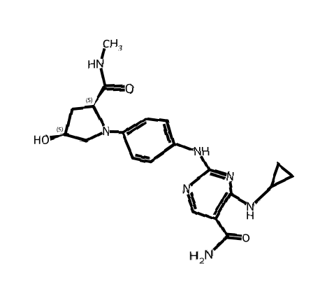 CNC(=O)[C@@H]1C[C@H](O)CN1c1ccc(Nc2ncc(C(N)=O)c(NC3CC3)n2)cc1